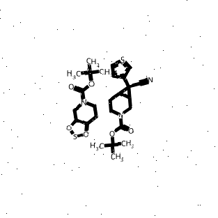 CC(C)(C)OC(=O)N1CCC2C(C1)C2(C#N)c1ccsc1.CC(C)(C)OC(=O)N1CCC2OSOC2C1